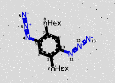 CCCCCCc1cc(N=[N+]=[N-])c(CCCCCC)cc1N=[N+]=[N-]